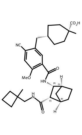 COc1cc(C#N)c(C[C@H]2CC[C@@](C)(C(=O)O)CC2)cc1C(=O)N[C@@H]1[C@H]2CC[C@H](C2)[C@@H]1C(=O)NCC1(C)CCC1